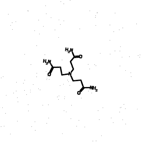 NC(=O)CCN(CCC(N)=O)CCC(N)=O